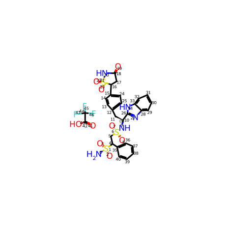 NS(=O)(=O)C(CS(=O)(=O)N[C@@H](Cc1ccc(C2CC(=O)NS2(=O)=O)cc1)c1nc2ccccc2[nH]1)c1ccccc1.O=C(O)C(F)(F)F